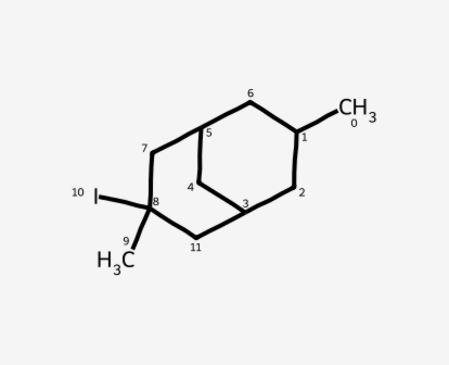 CC1CC2CC(C1)CC(C)(I)C2